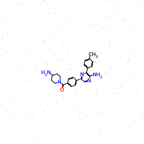 Cc1ccc(-c2nc(-c3ccc(C(=O)N4CCC(N)CC4)cc3)cnc2N)cc1